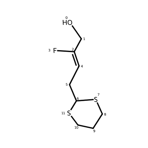 OCC(F)=CCC1SCCCS1